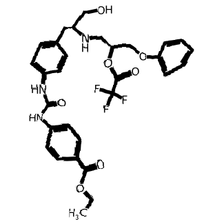 CCOC(=O)c1ccc(NC(=O)Nc2ccc(C[C@@H](CO)NC[C@@H](COc3ccccc3)OC(=O)C(F)(F)F)cc2)cc1